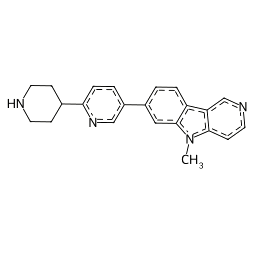 Cn1c2ccncc2c2ccc(-c3ccc(C4CCNCC4)nc3)cc21